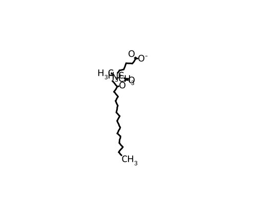 CCCCCCCCCCCCCCC(C[N+](C)(C)CCCCC(=O)[O-])OC(C)=O